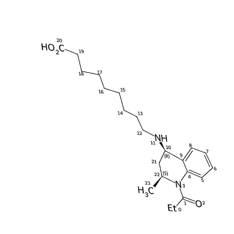 CCC(=O)N1c2ccccc2[C@H](NCCCCCCCCC(=O)O)C[C@@H]1C